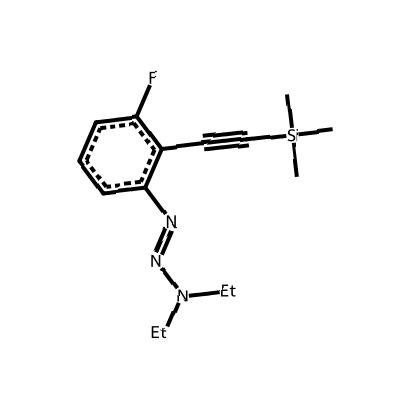 CCN(CC)/N=N/c1cccc(F)c1C#C[Si](C)(C)C